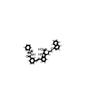 O=C(NS(=O)(=O)c1ccccc1)c1cccc(/C=C/c2cccc3c(CCCOc4cccc5ccccc45)c(C(=O)O)[nH]c23)c1